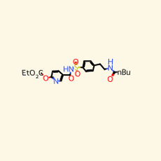 CCCCC(=O)NCCc1ccc(S(=O)(=O)NC(=O)c2ccc(OC(=O)OCC)nc2)cc1